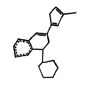 CC1=CCC(C2=Cc3ccccc3C(C3CCCCC3)C2)=C1